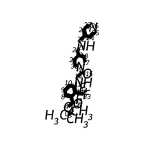 CC(C)(C)OC(=O)c1cccc(NCC(=O)N2CCC(CNCc3ccncc3)CC2)c1C(F)(F)F